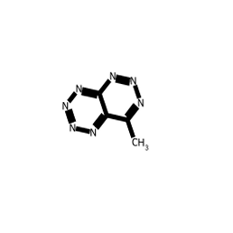 Cc1nnnc2nnnnc12